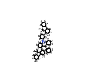 CC1(C)c2ccccc2-c2cccc(-c3cccc(N4c5cccc6c5C(C)(c5ccccc5-6)c5c(-c6cccc7c6C(C)(C)c6ccccc6-7)cccc54)c3)c21